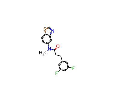 CN(C(=O)CCc1cc(F)cc(F)c1)c1ccc2scnc2c1